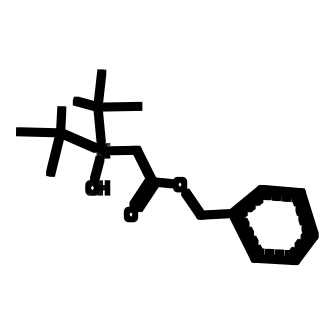 CC(C)(C)[Si](O)(CC(=O)OCc1ccccc1)C(C)(C)C